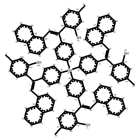 Cc1ccc(/C(=C/c2cccc3ccccc23)c2cc[c]([Sn]([c]3ccc(/C(=C\c4cccc5ccccc45)c4ccc(C)cc4S)cc3)([c]3ccc(/C(=C\c4cccc5ccccc45)c4ccc(C)cc4S)cc3)[c]3ccc(/C(=C\c4cccc5ccccc45)c4ccc(C)cc4S)cc3)cc2)c(S)c1